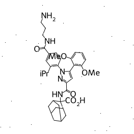 COc1cccc(OC)c1-c1cc(C(=O)NC2(C(=O)O)C3CC4CC(C3)CC2C4)nn1-c1ccc(C(=O)NCCCN)cc1C(C)C